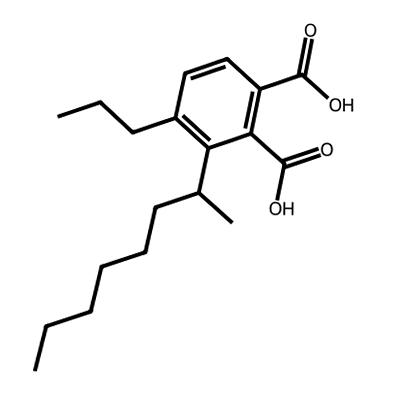 CCCCCCC(C)c1c(CCC)ccc(C(=O)O)c1C(=O)O